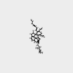 C=CC1=C(/C=C/C#CCCC)/C(=C2/c3c(ccc4ccccc34)C[C@H]2C)C(/C=C/C#CCCNN=N)=C(C=C)S1